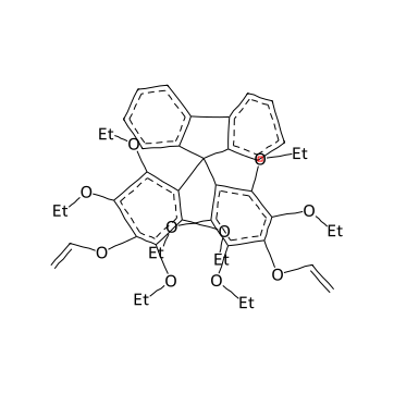 C=COc1c(OCC)c(OCC)c(C2(c3c(OCC)c(OCC)c(OC=C)c(OCC)c3OCC)c3ccccc3-c3ccccc32)c(OCC)c1OCC